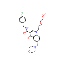 COCCOCCn1cc(C(=O)NCc2ccc(Cl)cc2)c(=O)c2cc(CN3CCOCC3)ccc21